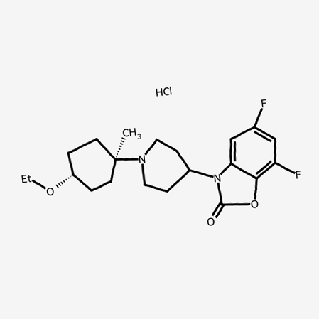 CCO[C@H]1CC[C@](C)(N2CCC(n3c(=O)oc4c(F)cc(F)cc43)CC2)CC1.Cl